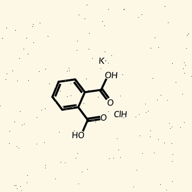 Cl.O=C(O)c1ccccc1C(=O)O.[K]